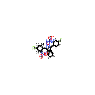 O=[N+]([O-])c1cc(F)ccc1-c1[nH]c(-c2ccc(F)cc2[N+](=O)[O-])c2c1C1CCC2C1